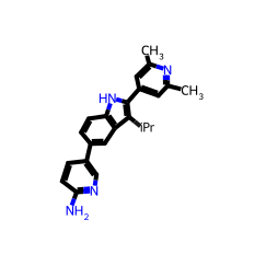 Cc1cc(-c2[nH]c3ccc(-c4ccc(N)nc4)cc3c2C(C)C)cc(C)n1